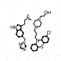 CN(C)CCc1c[nH]c2ccc(Cn3cncn3)cc12.OCCN1CCN(CCCN2c3ccccc3Sc3ccc(Cl)cc32)CC1